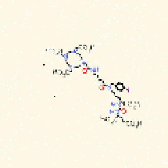 O=C(O)CCC(NC(=O)NC(CCCCN(Cc1ccc(I)cc1)C(=O)CCCCNC(=O)CN1CCN(CC(=O)O)CCN(CC(=O)O)CCN(CC(=O)O)CC1)C(=O)O)C(=O)O